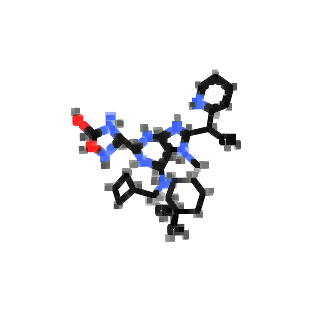 CC(c1ccccn1)c1nc2nc(-c3noc(=O)[nH]3)nc(N[C@H](C)C3CCC3)c2n1C[C@H]1CC[C@H](C)CC1